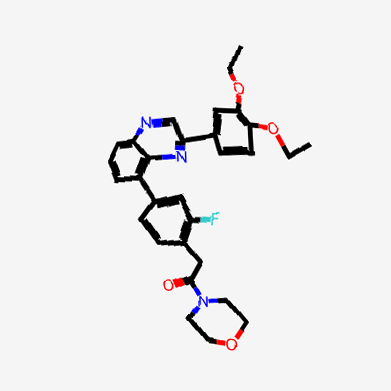 CCOc1ccc(-c2cnc3cccc(-c4ccc(CC(=O)N5CCOCC5)c(F)c4)c3n2)cc1OCC